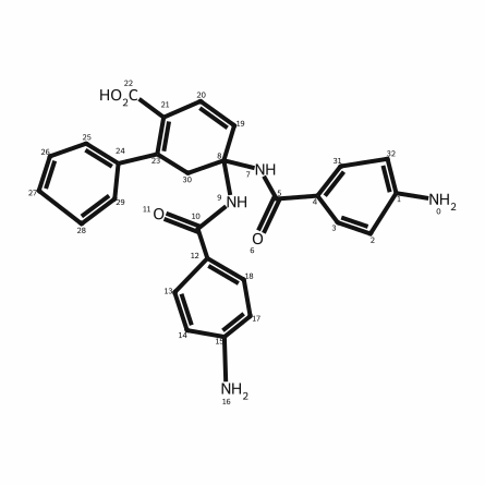 Nc1ccc(C(=O)NC2(NC(=O)c3ccc(N)cc3)C=CC(C(=O)O)=C(c3ccccc3)C2)cc1